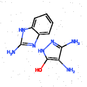 Nc1n[nH]c(O)c1N.Nc1nc2ccccc2[nH]1